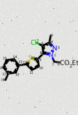 CCOC(=O)Cn1nc(C)c(Cl)c1-c1ccc(-c2cccc(C)c2)s1